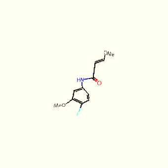 CO/C=C/C(=O)Nc1ccc(F)c(OC)c1